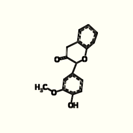 COc1cc(C2Oc3ccccc3CC2=O)ccc1O